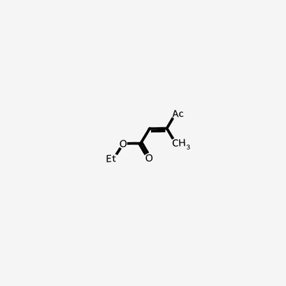 CCOC(=O)C=C(C)C(C)=O